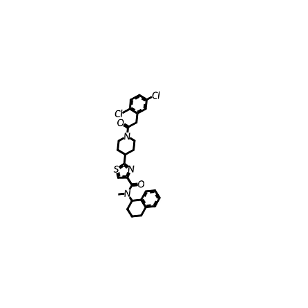 CN(C(=O)c1csc(C2CCN(C(=O)Cc3cc(Cl)ccc3Cl)CC2)n1)C1CCCc2ccccc21